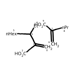 C=C(C(=O)O)C(CC)CCCCCC.C=C(CCC)C(=O)O